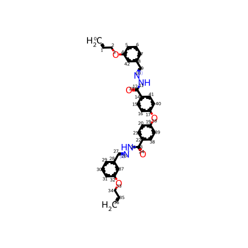 C=CCOc1cccc(/C=N/NC(=O)c2ccc(Oc3ccc(C(=O)N/N=C/c4cccc(OCC=C)c4)cc3)cc2)c1